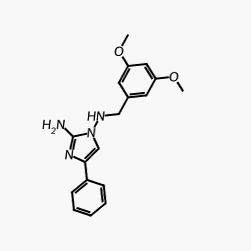 COc1cc(CNn2cc(-c3ccccc3)nc2N)cc(OC)c1